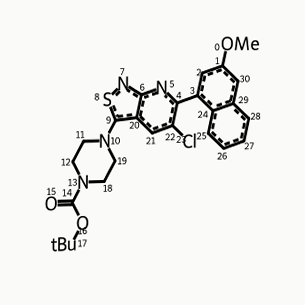 COc1cc(-c2nc3nsc(N4CCN(C(=O)OC(C)(C)C)CC4)c3cc2Cl)c2ccccc2c1